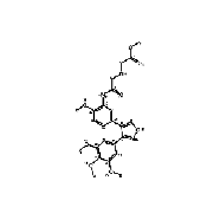 COC(=O)CNCC(=O)Nc1cc(-c2conc2-c2cc(OC)c(OC)c(OC)c2)ccc1OC